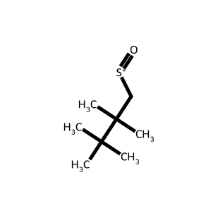 CC(C)(C)C(C)(C)C[S+]=O